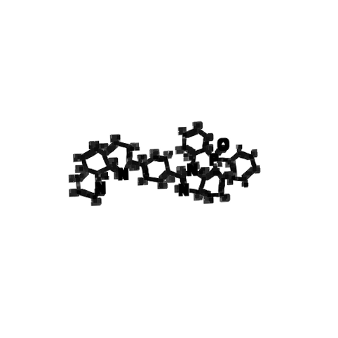 O=P1(c2ccccc2)c2ccccc2-n2c(-c3ccc(-c4ccc5ccc6cccnc6c5n4)cc3)nc3cccc1c32